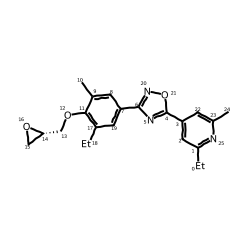 CCc1cc(-c2nc(-c3cc(C)c(OC[C@@H]4CO4)c(CC)c3)no2)cc(C)n1